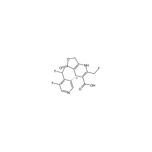 CC(F)c1c(F)cncc1[C@H]1C(C(=O)O)=C(CF)NC2=C1C(=O)OC2